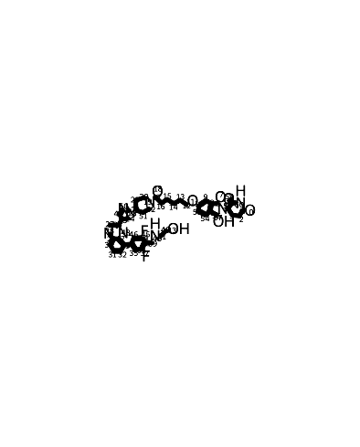 O=C1CCC(N2C(=O)c3cc(OCCCCCC(=O)N4CCC(N5CC(c6cnc7cccc(-c8cc(F)c(CNCCO)c(F)c8)c7n6)C=N5)CC4)ccc3C2O)C(=O)N1